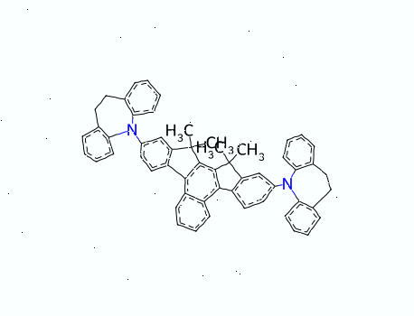 CC1(C)c2cc(N3c4ccccc4CCc4ccccc43)ccc2-c2c1c1c(c3ccccc23)-c2ccc(N3c4ccccc4CCc4ccccc43)cc2C1(C)C